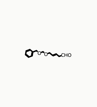 O=CCC=CCOCOCc1ccccc1